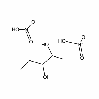 CCC(O)C(C)O.O=[N+]([O-])O.O=[N+]([O-])O